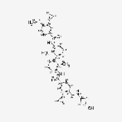 Cc1c(NC(=O)c2cc(C3CC3)c(CN)cn2)cccc1-c1cccc(NC(=O)c2cc(C3CC3)c(CN[C@H]3C[C@@H](O)C3)cn2)c1C